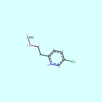 O=COCCc1ccc(Cl)cn1